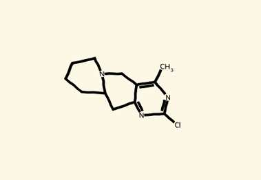 Cc1nc(Cl)nc2c1CN1CCCCC1C2